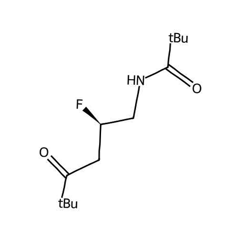 CC(C)(C)C(=O)C[C@@H](F)CNC(=O)C(C)(C)C